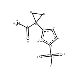 CS(=O)(=O)c1ccc(C2(C(N)=O)CC2)o1